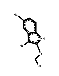 OCOc1[nH]c2ccc(O)cc2c1O